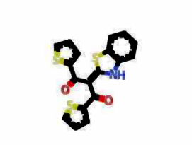 O=C(C(C(=O)c1cccs1)=C1Nc2ccccc2S1)c1cccs1